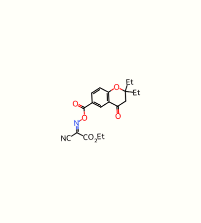 CCOC(=O)/C(C#N)=N\OC(=O)c1ccc2c(c1)C(=O)CC(CC)(CC)O2